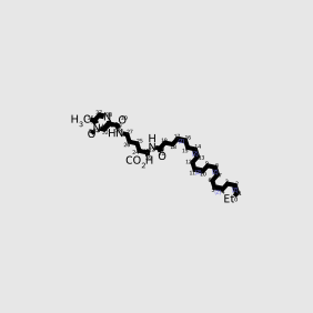 CC/C=C\C/C=C\C/C=C\C/C=C\C/C=C\C/C=C\CCC(=O)NC(CCCCNC(=O)c1c[n+]([O-])c(C)cn1)C(=O)O